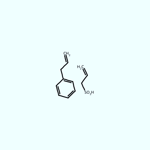 C=CCS(=O)(=O)O.C=CCc1ccccc1